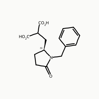 O=C(O)C(C[C@@H]1CCC(=O)N1Cc1ccccc1)C(=O)O